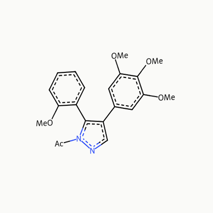 COc1ccccc1-c1c(-c2cc(OC)c(OC)c(OC)c2)cnn1C(C)=O